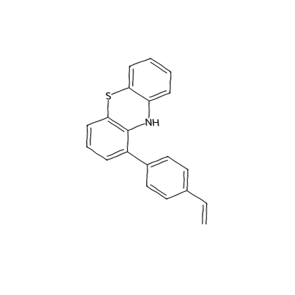 C=Cc1ccc(-c2cccc3c2Nc2ccccc2S3)cc1